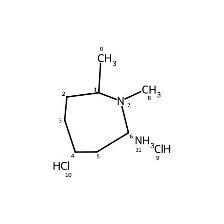 CC1CCCCCN1C.Cl.Cl.N